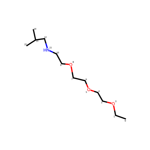 CCOCCOCCOCCNCC(C)C